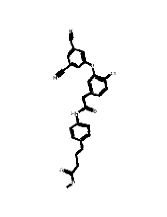 COC(=O)CCCc1ccc(NC(=O)Cc2ccc(Cl)c(Oc3cc(C#N)cc(C#N)c3)c2)cc1